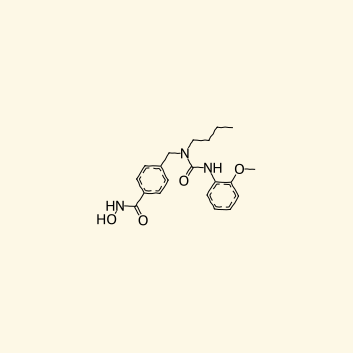 CCCCN(Cc1ccc(C(=O)NO)cc1)C(=O)Nc1ccccc1OC